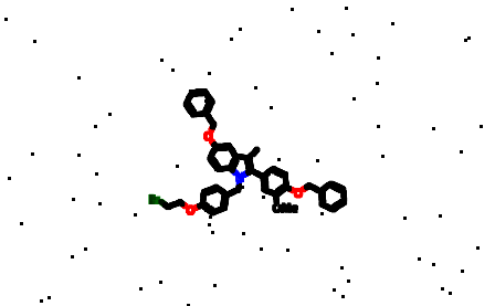 COc1cc(-c2c(C)c3cc(OCc4ccccc4)ccc3n2Cc2ccc(OCCBr)cc2)ccc1OCc1ccccc1